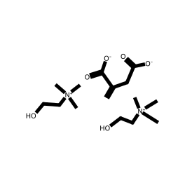 C=C(CC(=O)[O-])C(=O)[O-].C[N+](C)(C)CCO.C[N+](C)(C)CCO